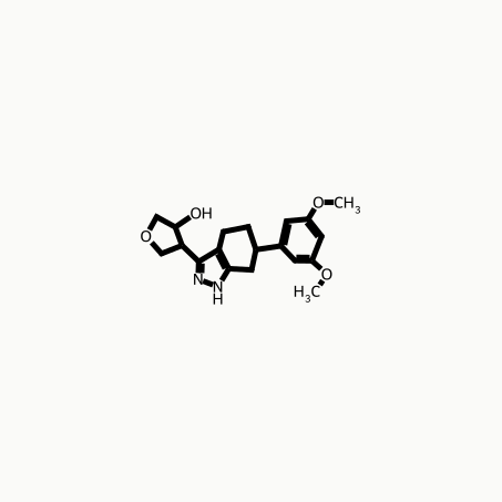 COc1cc(OC)cc(C2CCc3c(C4COCC4O)n[nH]c3C2)c1